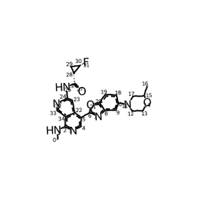 CNc1ncc(-c2nc3cc(N4CCOC(C)C4)ccc3o2)c2cc(NC(=O)[C@@H]3C[C@@H]3F)ncc12